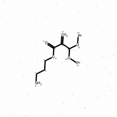 C=C(C(=O)OCCC[SiH3])C(OC(C)C)OC(C)C